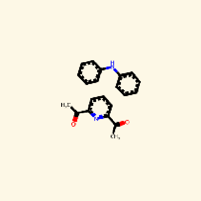 CC(=O)c1cccc(C(C)=O)n1.c1ccc(Nc2ccccc2)cc1